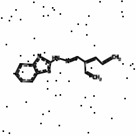 C=C/C=C(\C=C)C=NNc1nc2ccccc2s1